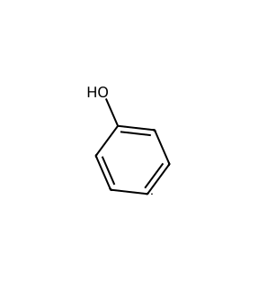 Oc1cc[c]cc1